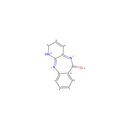 O=c1nc2c(nc3ccccc13)NCC=C2